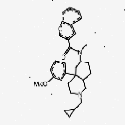 COc1cccc(C23CCN(CC4CC4)CC2CCC(N(C)C(=O)c2ccc4ccccc4c2)C3)c1